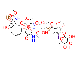 COC(=O)NC1C(=O)C[C@]2(O)/C=C\C=C/C#C[C@H](OC3(OC4CC(OC)C(NC(C)=O)CO4)COC(C)C(NOC4CC(O)C(SC(=O)c5c(C)c(I)c(OC6OC(C)C(O)C(OC)C6O)c(OC)c5OC)C(C)O4)C3O)C1/C2=C\CS